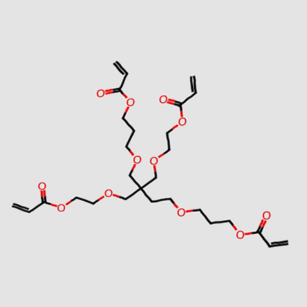 C=CC(=O)OCCCOCCC(COCCCOC(=O)C=C)(COCCOC(=O)C=C)COCCOC(=O)C=C